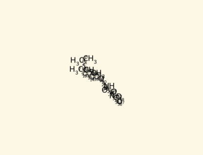 CC(C)CCC[C@@H](C)[C@H]1CCC2C3CC=C4C[C@@H](OCCCNC(=O)CCC(=O)[N][C@@H](C=O)Cc5ccccc5)CC[C@]4(C)C3CC[C@@]21C